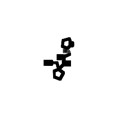 OCC1(NNC[C@@H]2CCCO2)CCCC1